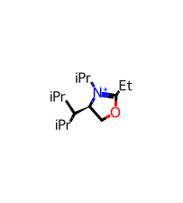 CCC1=[N+](C(C)C)[C@H](C(C(C)C)C(C)C)CO1